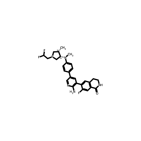 C[C@H]1CN(CC(F)F)C[C@H]1N(C)c1ccc(-c2cnc(N)c(-c3cc4c(cc3F)C(=O)NCC4)c2)cc1